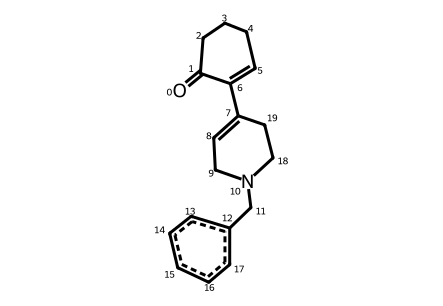 O=C1CCCC=C1C1=CCN(Cc2ccccc2)CC1